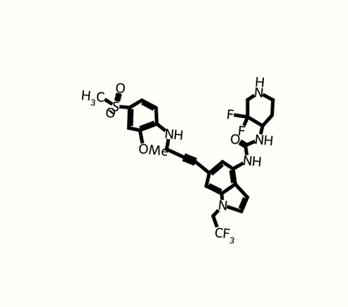 COc1cc(S(C)(=O)=O)ccc1NCC#Cc1cc(NC(=O)NC2CCNCC2(F)F)c2ccn(CC(F)(F)F)c2c1